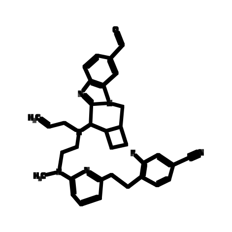 C=CCN(CCN(C)c1cccc(CCc2ccc(C#N)cc2F)n1)C1c2nc3ccc(C=O)cc3n2CC2CCC21